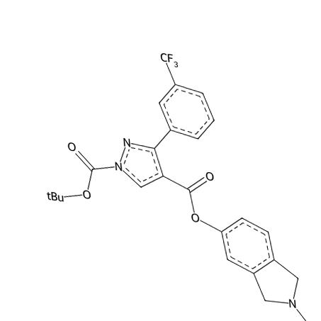 CCN1Cc2ccc(OC(=O)c3cn(C(=O)OC(C)(C)C)nc3-c3cccc(C(F)(F)F)c3)cc2C1